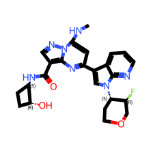 CNc1cc(-c2cn([C@H]3CCOC[C@@H]3F)c3ncccc23)nc2c(C(=O)N[C@H]3CC[C@H]3O)cnn12